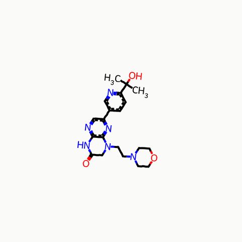 CC(C)(O)c1ccc(-c2cnc3c(n2)N(CCN2CCOCC2)CC(=O)N3)cn1